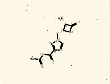 N[C@@H]1C(=O)N[C@@H]1Cn1cnc(C(=O)NC(=O)O)n1